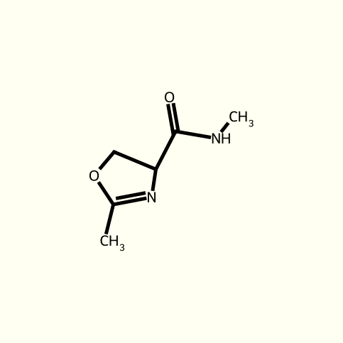 CNC(=O)C1COC(C)=N1